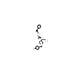 N#CCC1(N2CC(CNC3CC3c3ccccc3)C2)CCN(C(=O)c2ccc(F)cc2)CC1